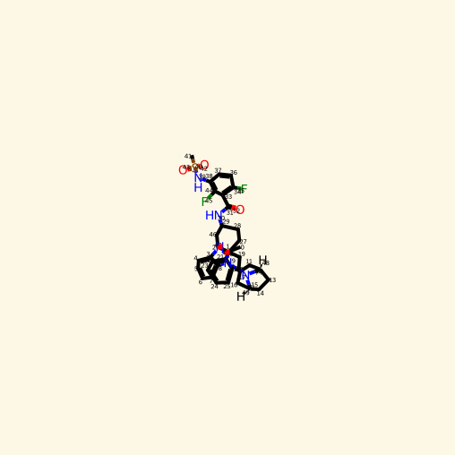 Cc1nc2ccccc2n1C1C[C@H]2CC[C@@H](C1)N2CCC1(c2ccccc2)CCC(NC(=O)c2c(F)ccc(NS(C)(=O)=O)c2F)CC1